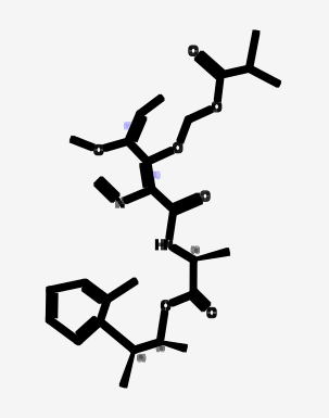 C=N/C(C(=O)N[C@@H](C)C(=O)O[C@@H](C)[C@@H](C)c1ccccc1C)=C(OCOC(=O)C(C)C)\C(=C/C)OC